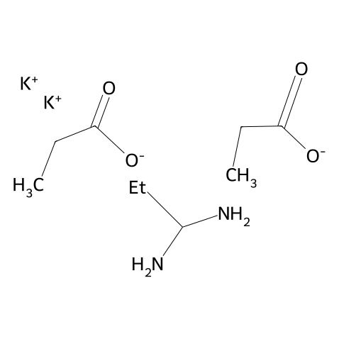 CCC(=O)[O-].CCC(=O)[O-].CCC(N)N.[K+].[K+]